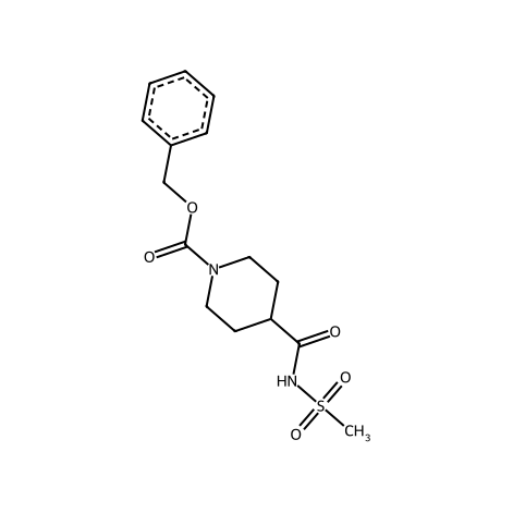 CS(=O)(=O)NC(=O)C1CCN(C(=O)OCc2ccccc2)CC1